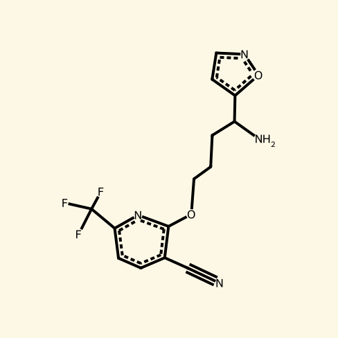 N#Cc1ccc(C(F)(F)F)nc1OCCCC(N)c1ccno1